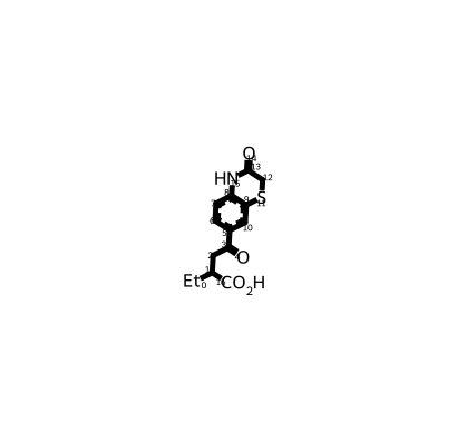 CCC(CC(=O)c1ccc2c(c1)SCC(=O)N2)C(=O)O